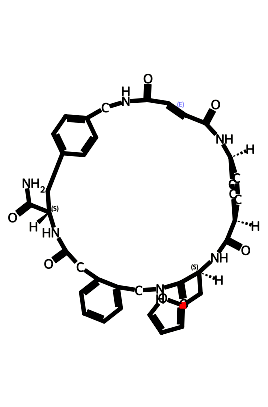 NC(=O)[C@@H]1Cc2ccc(cc2)CNC(=O)/C=C/C(=O)N[C@H]2CC[C@H](CC2)C(=O)N[C@@H](Cc2ccco2)C(=O)NCc2ccccc2CC(=O)N1